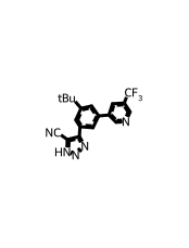 CC(C)(C)c1cc(-c2cncc(C(F)(F)F)c2)cc(-c2nn[nH]c2C#N)c1